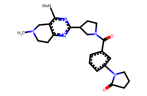 CNc1nc(C2CCN(C(=O)c3cccc(N4CCCC4=O)c3)C2)nc2c1CN(C)CC2